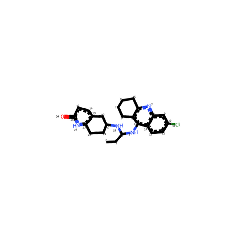 CCC(Nc1c2c(nc3cc(Cl)ccc13)CCCC2)NC1CCc2[nH]c(=O)ccc2C1